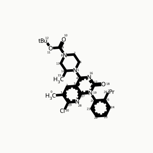 Cc1cc2c(N3CCN(C(=O)OC(C)(C)C)CC3C)nc(=O)n(-c3ccccc3C(C)C)c2nc1Cl